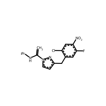 C=C(NC(C)C)n1ccc(Cc2cc(F)c([N+](=O)[O-])cc2Cl)n1